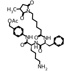 CC(=O)OCc1ccc(NC(=O)[C@H](CCCCN)NC(=O)[C@H](Cc2ccccc2)NC(=O)CCCCCN2C(=O)CC(C)C2=O)cc1